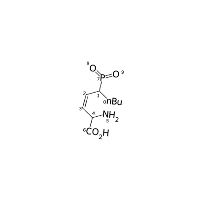 CCCCC(/C=C\C(N)C(=O)O)P(=O)=O